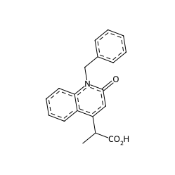 CC(C(=O)O)c1cc(=O)n(Cc2ccccc2)c2ccccc12